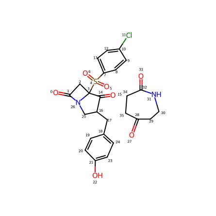 O=C1CC2(S(=O)(=O)c3ccc(Cl)cc3)C(=O)C(Cc3ccc(O)cc3)CN12.O=C1CCNC(=O)CC1